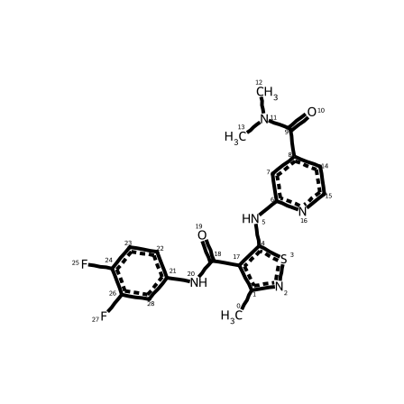 Cc1nsc(Nc2cc(C(=O)N(C)C)ccn2)c1C(=O)Nc1ccc(F)c(F)c1